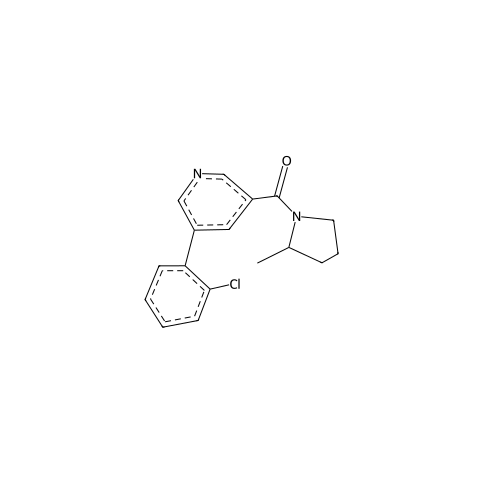 CC1CCCN1C(=O)c1cncc(-c2ccccc2Cl)c1